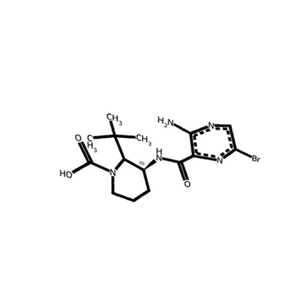 CC(C)(C)C1[C@@H](NC(=O)c2nc(Br)cnc2N)CCCN1C(=O)O